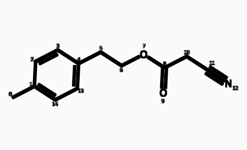 Cc1ccc(CCOC(=O)CC#N)cc1